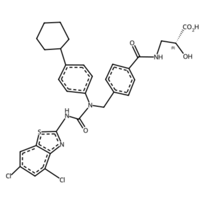 O=C(NC[C@@H](O)C(=O)O)c1ccc(CN(C(=O)Nc2nc3c(Cl)cc(Cl)cc3s2)c2ccc(C3CCCCC3)cc2)cc1